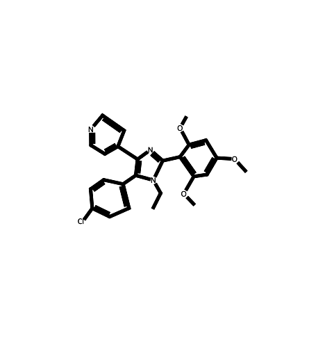 CCn1c(-c2c(OC)cc(OC)cc2OC)nc(-c2ccncc2)c1-c1ccc(Cl)cc1